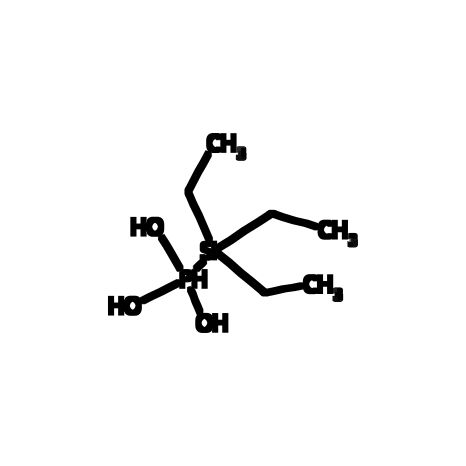 CC[Si](CC)(CC)[PH](O)(O)O